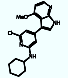 COc1ccnc2[nH]cc(-c3cc(Cl)nc(NC4CCCCC4)c3)c12